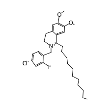 CCCCCCCCCCCC1=[N+](Cc2ccccc2F)CCc2cc(OC)c(OC)cc21.[Cl-]